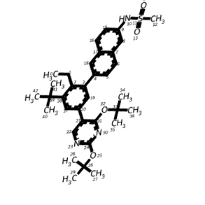 CCc1c(-c2ccc3cc(NS(C)(=O)=O)ccc3c2)cc(-c2cnc(OC(C)(C)C)nc2OC(C)(C)C)cc1C(C)(C)C